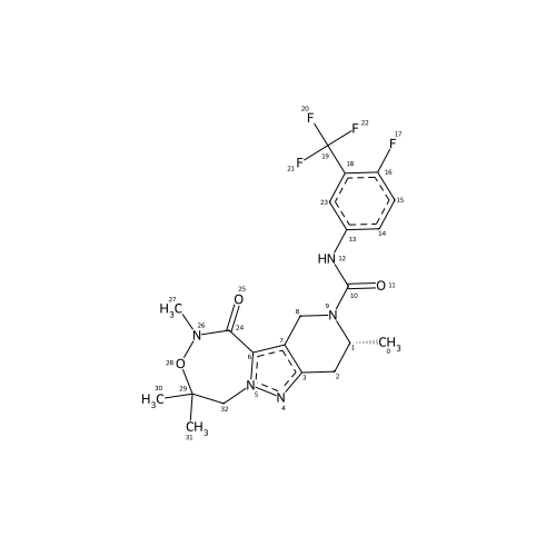 C[C@@H]1Cc2nn3c(c2CN1C(=O)Nc1ccc(F)c(C(F)(F)F)c1)C(=O)N(C)OC(C)(C)C3